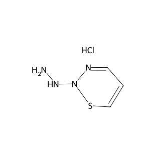 Cl.NNN1N=CC=CS1